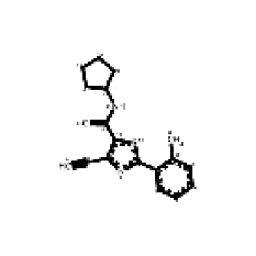 C#Cc1nc(-c2ccccc2C)sc1C(=O)NC1CCCC1